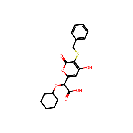 O=C(O)C(OC1CCCCC1)c1cc(O)c(SCc2ccccc2)c(=O)o1